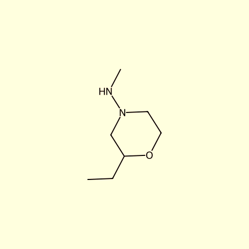 CCC1CN(NC)CCO1